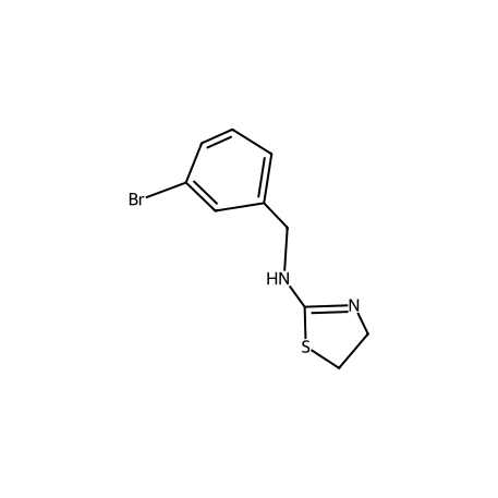 Brc1cccc(CNC2=NCCS2)c1